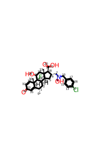 C[C@H]1C[C@H]2[C@@H]3C[C@@H](CN(O)Cc4ccc(Cl)cc4)[C@H](C(=O)O)[C@@]3(C)C[C@H](O)[C@]2(F)[C@@]2(C)C=CC(=O)C=C12